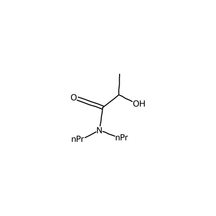 CCCN(CCC)C(=O)C(C)O